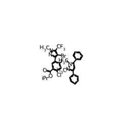 CC(C)OC(=O)c1cc(-c2nn(C)c(C(F)(F)F)c2Br)c(F)cc1Cl.Cn1c(-c2ccccc2)cc(-c2ccccc2)[n+]1C